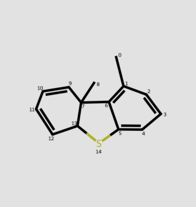 Cc1cccc2c1C1(C)C=CC=CC1S2